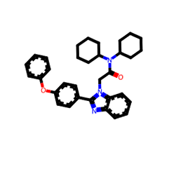 O=C(Cn1c(-c2ccc(Oc3ccccc3)cc2)nc2ccccc21)N(C1CCCCC1)C1CCCCC1